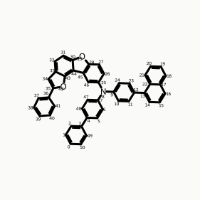 c1ccc(-c2ccc(N(c3ccc(-c4cccc5ccccc45)cc3)c3ccc4oc5ccc6cc(-c7ccccc7)oc6c5c4c3)cc2)cc1